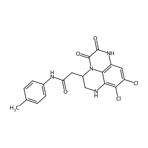 Cc1ccc(NC(=O)CC2CNc3c(Cl)c(Cl)cc4[nH]c(=O)c(=O)n2c34)cc1